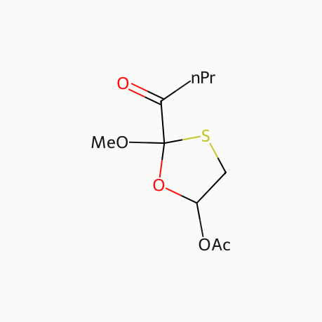 CCCC(=O)C1(OC)OC(OC(C)=O)CS1